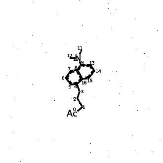 CC(=O)CCCc1cccc2c(N(C)C)cccc12